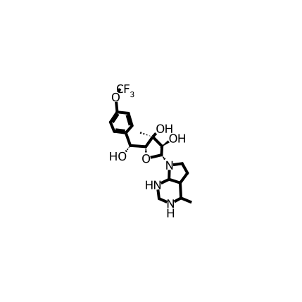 CC1NCNC2C1CCN2[C@@H]1O[C@H]([C@H](O)c2ccc(OC(F)(F)F)cc2)[C@@](C)(O)[C@H]1O